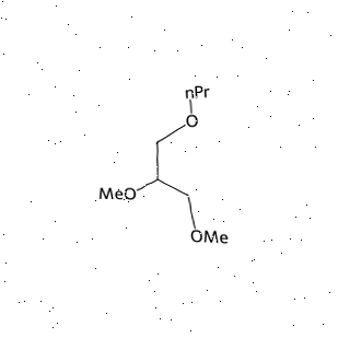 CCCOCC(COC)OC